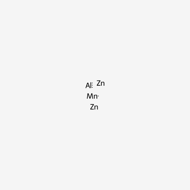 [Al].[Mn].[Zn].[Zn]